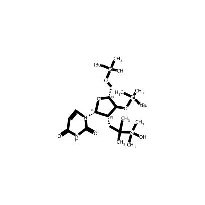 CC(C)(C[C@H]1C(O[Si](C)(C)C(C)(C)C)[C@@H](CO[Si](C)(C)C(C)(C)C)O[C@H]1n1ccc(=O)[nH]c1=O)[Si](C)(C)O